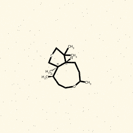 CC1CC[C@H]2C(C)(C)CCC[C@]2(C)[C@H](C)CCO1